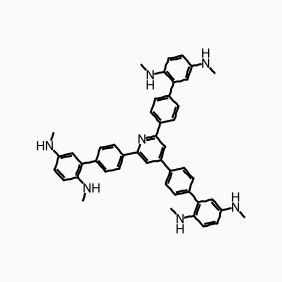 CNc1ccc(NC)c(-c2ccc(-c3cc(-c4ccc(-c5cc(NC)ccc5NC)cc4)nc(-c4ccc(-c5cc(NC)ccc5NC)cc4)c3)cc2)c1